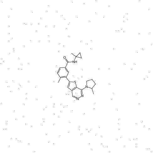 Cc1ccc(C(=O)NC2(C)CC2)cc1-c1cc2cnnc(N3CCCC3C)c2s1